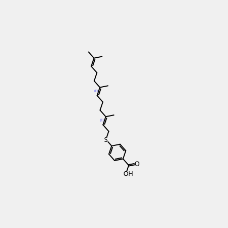 CC(C)=CCC/C(C)=C/CC/C(C)=C/CSc1ccc(C(=O)O)cc1